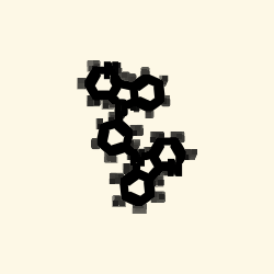 c1cc(B2c3ccccc3-c3ncccc32)cc(-n2c3ccccc3c3ncccc32)c1